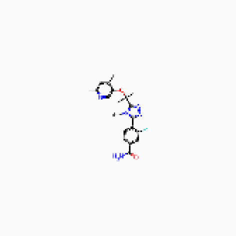 Cc1cc(C)c(OC(C)(C)c2nnc(-c3ccc(C(N)=O)cc3F)n2C(C)C)cn1